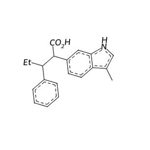 CCC(c1ccccc1)C(C(=O)O)c1ccc2c(C)c[nH]c2c1